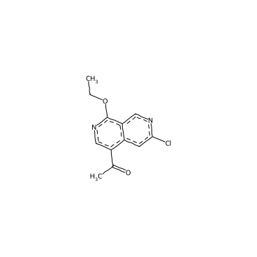 CCOc1ncc(C(C)=O)c2cc(Cl)ncc12